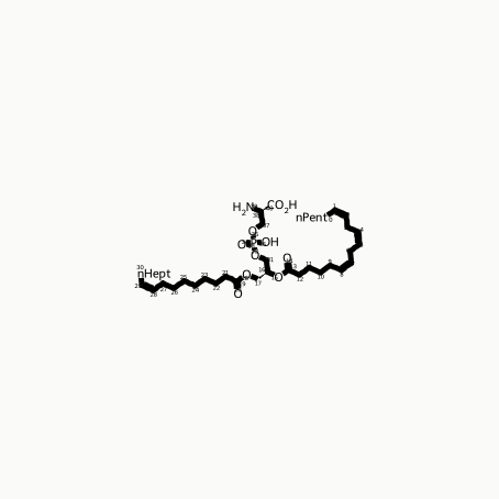 CCCCC/C=C\C/C=C\C/C=C\CCCCC(=O)O[C@H](COC(=O)CCCCCCC/C=C\CCCCCCC)COP(=O)(O)OC[C@H](N)C(=O)O